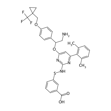 Cc1cccc(C)c1-c1cc(OC(CN)c2ccc(OCC3(C(F)(F)F)CC3)cc2)nc(NSc2cccc(C(=O)O)c2)n1